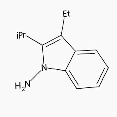 CCc1c(C(C)C)n(N)c2ccccc12